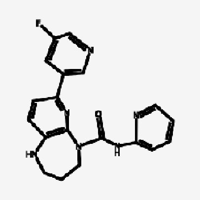 O=C(Nc1ccccn1)N1CCCNc2ccc(-c3cncc(F)c3)nc21